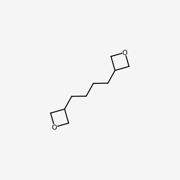 C(CCC1COC1)CC1COC1